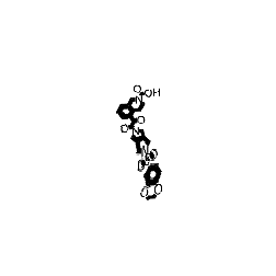 O=C(C(=O)N1CC2=C(C1)CN(S(=O)(=O)c1ccc3c(c1)OCCO3)C2)c1cccc2c1CCN(C(=O)O)C2